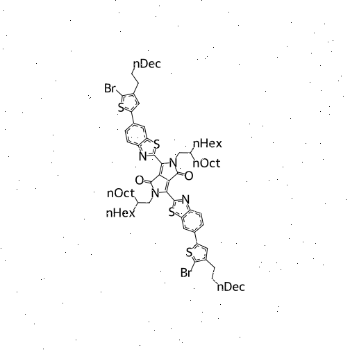 CCCCCCCCCCCCc1cc(-c2ccc3nc(C4=C5C(=O)N(CC(CCCCCC)CCCCCCCC)C(c6nc7ccc(-c8cc(CCCCCCCCCCCC)c(Br)s8)cc7s6)=C5C(=O)N4CC(CCCCCC)CCCCCCCC)sc3c2)sc1Br